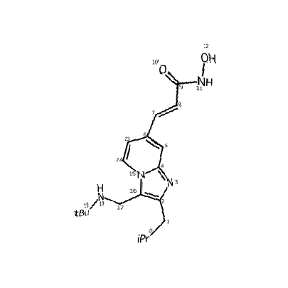 CC(C)Cc1nc2cc(C=CC(=O)NO)ccn2c1CNC(C)(C)C